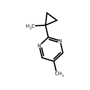 Cc1cnc(C2(C)CC2)nc1